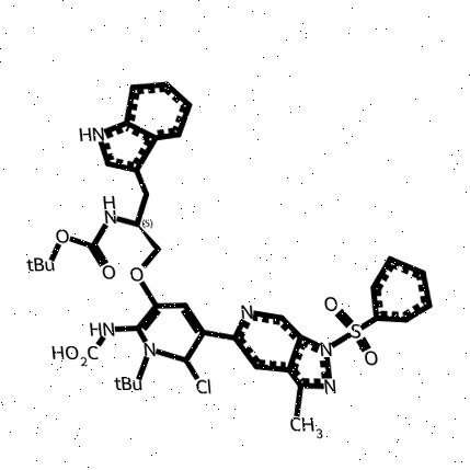 Cc1nn(S(=O)(=O)c2ccccc2)c2cnc(C3=CC(OC[C@H](Cc4c[nH]c5ccccc45)NC(=O)OC(C)(C)C)=C(NC(=O)O)N(C(C)(C)C)C3Cl)cc12